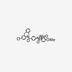 COc1ccc(C(=O)Nc2ccc(C(=O)N3Cc4ccccc4Cc4cc(Cl)ccc43)cc2)c(OC)c1